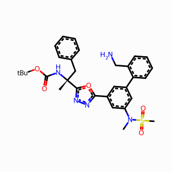 CN(c1cc(-c2nnc([C@@](C)(Cc3ccccc3)NC(=O)OC(C)(C)C)o2)cc(-c2ccccc2CN)c1)S(C)(=O)=O